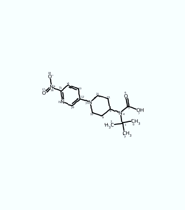 CC(C)(C)N(C(=O)O)C1CCN(c2ccc([N+](=O)[O-])nc2)CC1